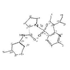 CCN(c1nc(C)ccc1S(=O)(=O)N1CCC[C@H]1C(=O)NC1CCCC(C)C1)C(C)C